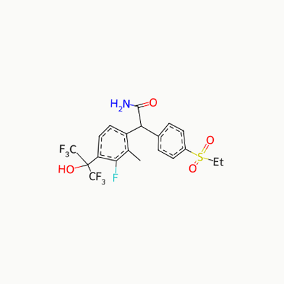 CCS(=O)(=O)c1ccc(C(C(N)=O)c2ccc(C(O)(C(F)(F)F)C(F)(F)F)c(F)c2C)cc1